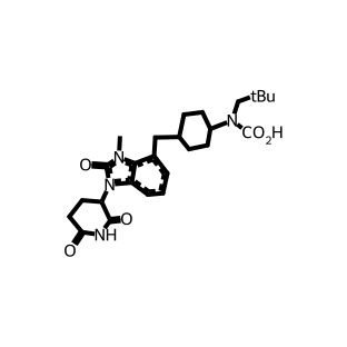 Cn1c(=O)n(C2CCC(=O)NC2=O)c2cccc(CC3CCC(N(CC(C)(C)C)C(=O)O)CC3)c21